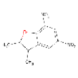 CC1Oc2c(cc([N+](=O)[O-])cc2[N+](=O)[O-])C1C